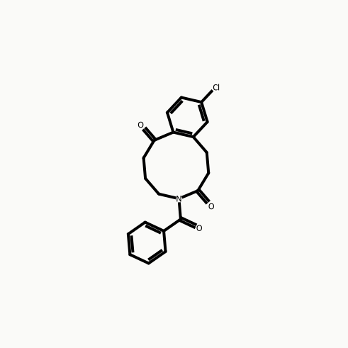 O=C1CCCN(C(=O)c2ccccc2)C(=O)CCc2cc(Cl)ccc21